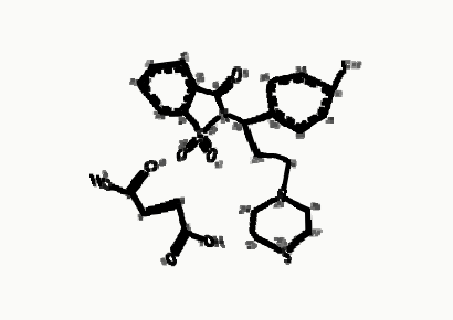 O=C(O)C=CC(=O)O.O=C1c2ccccc2S(=O)(=O)N1C(CCN1CCSCC1)c1ccc(F)cc1